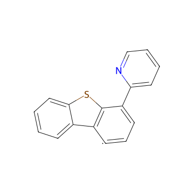 [c]1ccc(-c2ccccn2)c2sc3ccccc3c12